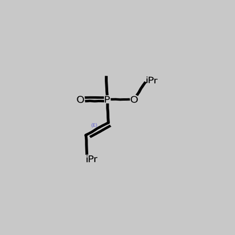 CC(C)/C=C/P(C)(=O)OC(C)C